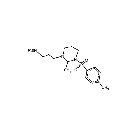 CNCCCN1CCCN(S(=O)(=O)c2ccc(C)cc2)C1C